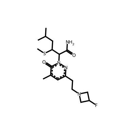 CSC(CC(C)C)C(C(N)=O)n1nc(CCN2CC(F)C2)cc(C)c1=O